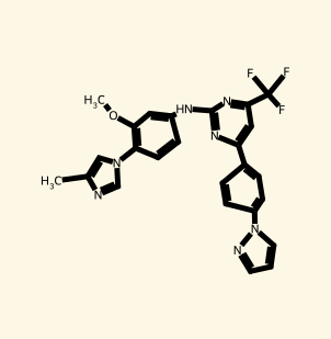 COc1cc(Nc2nc(-c3ccc(-n4cccn4)cc3)cc(C(F)(F)F)n2)ccc1-n1cnc(C)c1